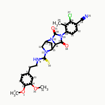 COc1ccc(CCNC(=S)N2CC3CC2C2C(=O)N(c4ccc(C#N)c(Cl)c4C)C(=O)N32)cc1OC